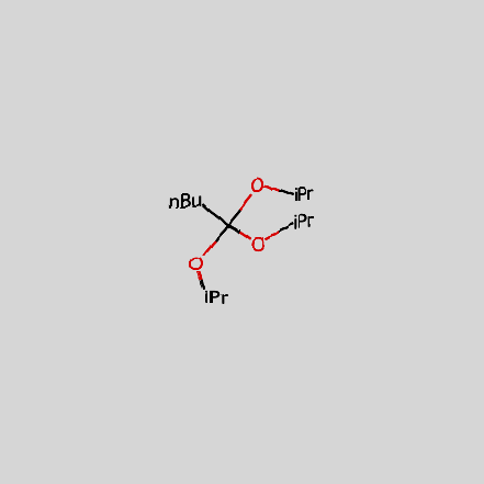 CCCCC(OC(C)C)(OC(C)C)OC(C)C